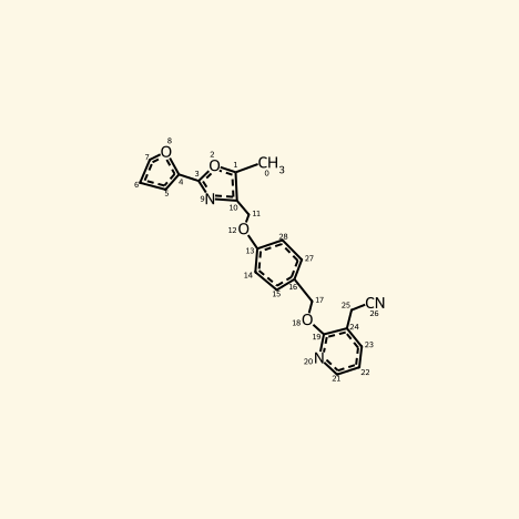 Cc1oc(-c2ccco2)nc1COc1ccc(COc2ncccc2CC#N)cc1